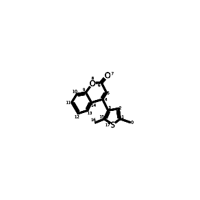 Cc1cc(-c2cc(=O)oc3ccccc23)c(C)s1